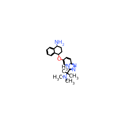 CN(C)C(C)(C)c1nnc2ccc(O[C@@H]3CC[C@H](N)c4ccccc43)cn12